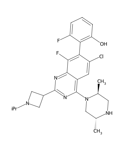 CC(C)N1CC(c2nc(N3C[C@@H](C)NC[C@@H]3C)c3cc(Cl)c(-c4c(O)cccc4F)c(F)c3n2)C1